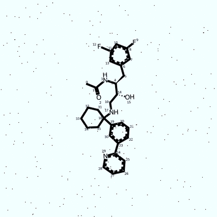 CC(=O)N[C@@H](Cc1cc(F)cc(F)c1)[C@H](O)CNC1(c2cccc(-c3ccccn3)c2)CCCCC1